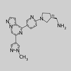 Cn1cc(-c2cn3nccc3c(-c3ccc(N4CC[C@@H](CN)C4)nc3)n2)cn1